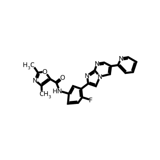 Cc1nc(C)c(C(=O)Nc2ccc(F)c(-c3cn4cc(-c5ccccn5)cnc4n3)c2)o1